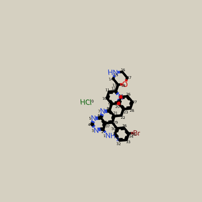 Cl.Nc1ncnc2nc(-c3ccc(C4CNCCO4)nc3)c(Cc3ccccc3)c(-c3cccc(Br)c3)c12